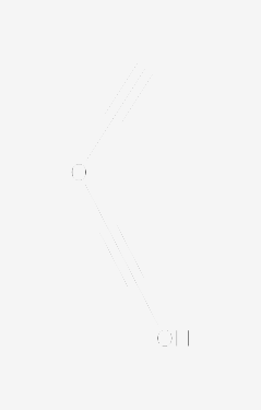 C#COC#CO